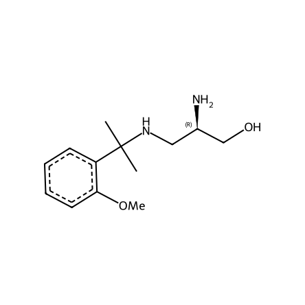 COc1ccccc1C(C)(C)NC[C@@H](N)CO